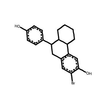 Oc1ccc(C2Cc3cc(Br)c(O)cc3C3CCCCC23)cc1